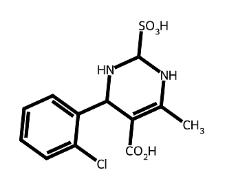 CC1=C(C(=O)O)C(c2ccccc2Cl)NC(S(=O)(=O)O)N1